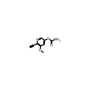 C#Cc1ncc(OC(N)=O)cc1OC